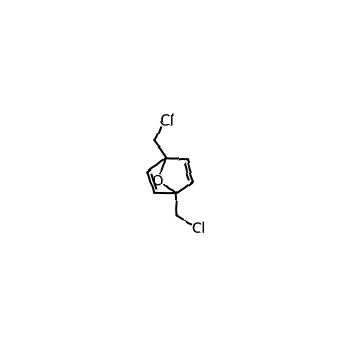 ClCC12C=CC(CCl)(C=C1)O2